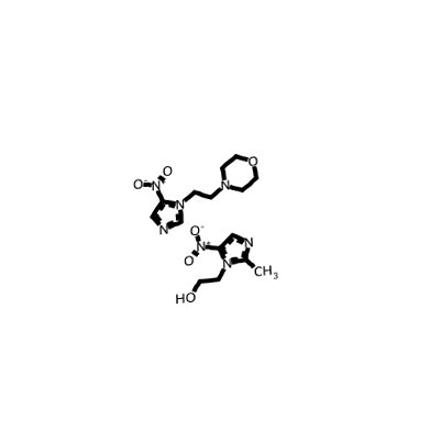 Cc1ncc([N+](=O)[O-])n1CCO.O=[N+]([O-])c1cncn1CCN1CCOCC1